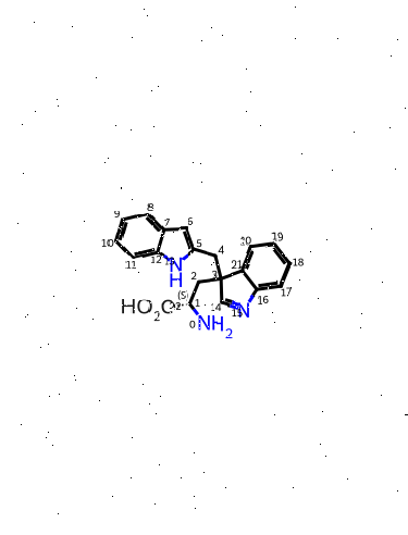 N[C@@H](CC1(Cc2cc3ccccc3[nH]2)C=Nc2ccccc21)C(=O)O